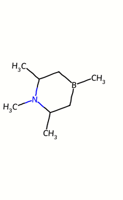 CB1CC(C)N(C)C(C)C1